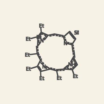 CCC1=C(CC)c2nc1c(CC)c1[nH]c(cc3nc(cc4c(CC)c(CC)c(c2CC)n4CC)C=C3)cc1CC.[Si]